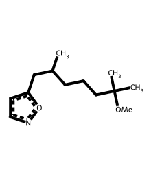 COC(C)(C)CCCC(C)Cc1c[c]no1